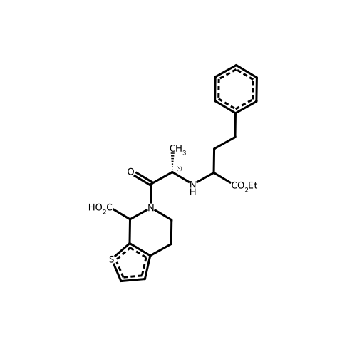 CCOC(=O)C(CCc1ccccc1)N[C@@H](C)C(=O)N1CCc2ccsc2C1C(=O)O